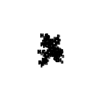 COC(=O)N[C@H](C(=O)N[C@@H](Cc1ccc(I)cc1)[C@@H](O)CN(Cc1c(C)cc(-c2ccn(C(F)F)n2)cc1F)NC(=O)[C@@H](NC(=O)OC)C(C)(C)C(F)(F)F)C(C)(C)C(F)(F)F